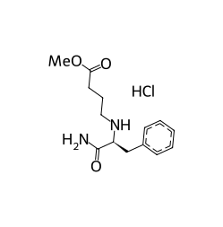 COC(=O)CCCN[C@@H](Cc1ccccc1)C(N)=O.Cl